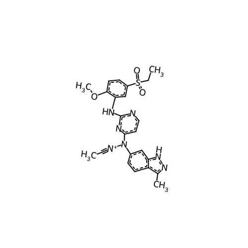 CC#[N+]N(c1ccc2c(C)n[nH]c2c1)c1ccnc(Nc2cc(S(=O)(=O)CC)ccc2OC)n1